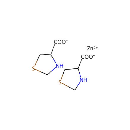 O=C([O-])C1CSCN1.O=C([O-])C1CSCN1.[Zn+2]